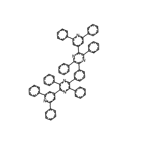 c1ccc(-c2cc(-c3nc(-c4ccccc4)c(-c4cccc(-c5nc(-c6ccccc6)c(-c6cc(-c7ccccc7)nc(-c7ccccc7)c6)nc5-c5ccccc5)c4)nc3-c3ccccc3)cc(-c3ccccc3)n2)cc1